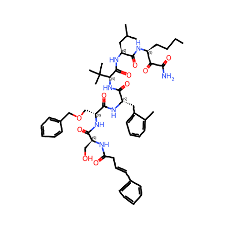 CCCC[C@H](NC(=O)[C@H](CC(C)C)NC(=O)[C@@H](NC(=O)[C@H](Cc1ccccc1C)NC(=O)[C@@H](COCc1ccccc1)NC(=O)[C@H](CO)NC(=O)CC=Cc1ccccc1)C(C)(C)C)C(=O)C(N)=O